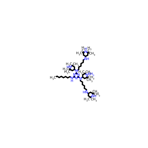 CCCCCCCCNc1nc(N(CCCCCCNC2CC(C)(C)NC(C)(C)C2)C2CC(C)(C)NC(C)(C)C2)nc(N(CCCCCCNC2CC(C)(C)NC(C)(C)C2)C2CC(C)(C)N(N)C(C)(C)C2)n1